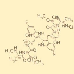 CN[C@@H](C)C(=O)N[C@H](C(=O)N1CC[C@H](O)[C@H]1Cc1c(-c2[nH]c3cc(F)ccc3c2C[C@@H]2[C@@H](O)CCN2C(=O)[C@@H](NC(=O)[C@H](C)NC)[C@@H](C)OC)[nH]c2cc(F)ccc12)[C@@H](C)OC